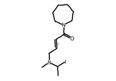 CC(I)N(C)C/C=C/C(=O)N1CCCCCC1